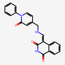 O=C1NC(=O)c2ccccc2C1=CNCc1ccn(-c2ccccc2)c(=O)c1